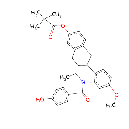 CCN(C(=O)c1ccc(O)cc1)c1cc(OC)ccc1C1CCc2cc(OC(=O)C(C)(C)C)ccc2C1